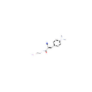 CN(C)c1ccc(/C=C(\C#N)C(=O)NCCON)cc1